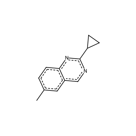 Cc1ccc2nc(C3CC3)ncc2c1